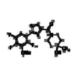 COc1c(F)c(F)cc(-c2ncc(C(=O)N3CCC(C)(O)CC3)s2)c1F